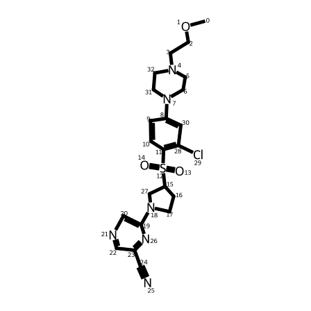 COCCN1CCN(c2ccc(S(=O)(=O)C3CCN(c4cncc(C#N)n4)C3)c(Cl)c2)CC1